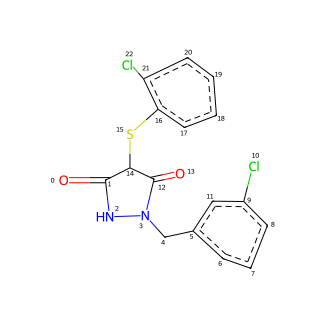 O=C1NN(Cc2cccc(Cl)c2)C(=O)C1Sc1ccccc1Cl